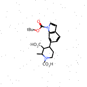 CC1C(C(=O)O)C(c2ccc3ccn(C(=O)OC(C)(C)C)c3c2)CCN1C(=O)O